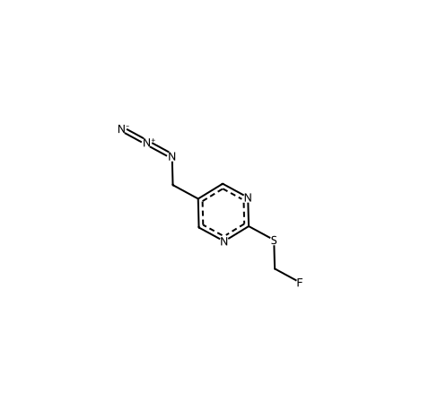 [N-]=[N+]=NCc1cnc(SCF)nc1